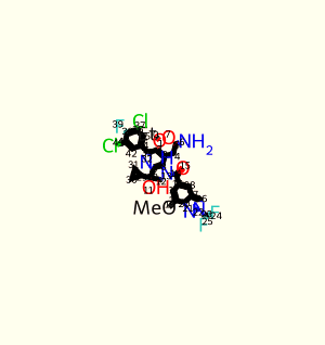 CCOc1c(CC(N)=O)cc([C@@](O)(CNC(=O)c2cc(OC)c3nn(C(F)F)cc3c2)C2CC2)nc1-c1cc(Cl)c(F)c(Cl)c1